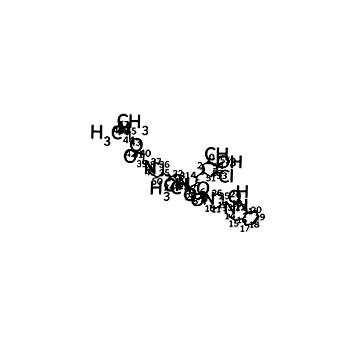 Cc1cc(C[C@@H](OC(=O)N2CCC(N3CCc4ccccc4NC3=O)CC2)C(=O)N(C)CCC(C)C2CCN(CCC(=O)OCCN(C)C)CC2)cc(Cl)c1O